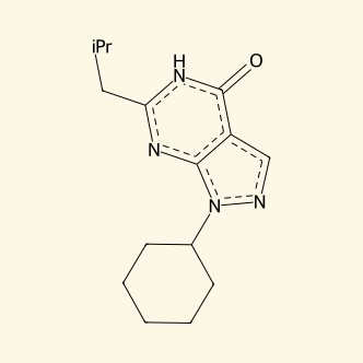 CC(C)Cc1nc2c(cnn2C2CCCCC2)c(=O)[nH]1